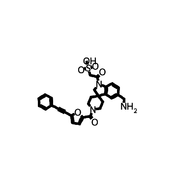 NCc1ccc2c(c1)C1(CCN(C(=O)c3ccc(C#Cc4ccccc4)o3)CC1)CN2C(=O)CS(=O)(=O)O